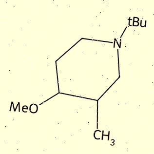 COC1CCN(C(C)(C)C)CC1C